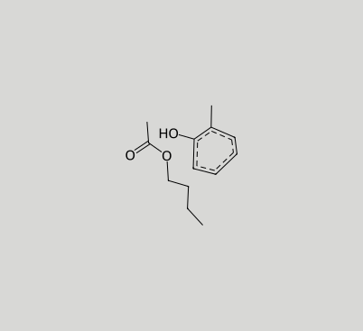 CCCCOC(C)=O.Cc1ccccc1O